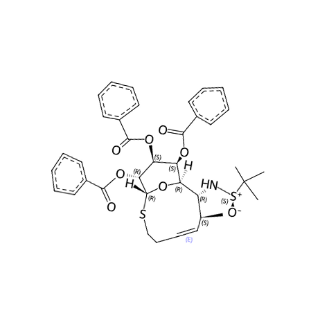 C[C@H]1/C=C/CCS[C@H]2O[C@H]([C@@H]1N[S@+]([O-])C(C)(C)C)[C@H](OC(=O)c1ccccc1)[C@H](OC(=O)c1ccccc1)[C@H]2OC(=O)c1ccccc1